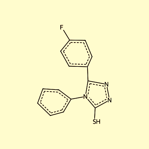 Fc1ccc(-c2nnc(S)n2-c2ccccc2)cc1